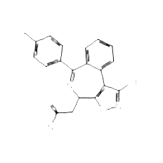 Cc1noc2c1-c1ccccc1C(c1ccc(Cl)cc1)=NC2CC(N)=O